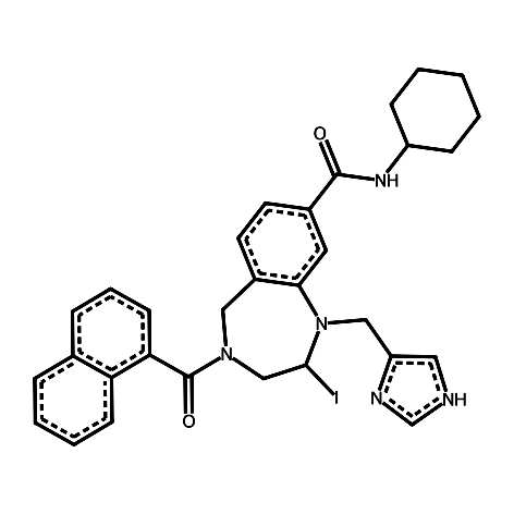 O=C(NC1CCCCC1)c1ccc2c(c1)N(Cc1c[nH]cn1)C(I)CN(C(=O)c1cccc3ccccc13)C2